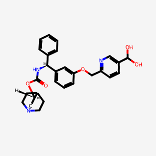 O=C(N[C@@H](c1ccccc1)c1cccc(OCc2ccc(C(O)O)cn2)c1)O[C@H]1CN2CCC1CC2